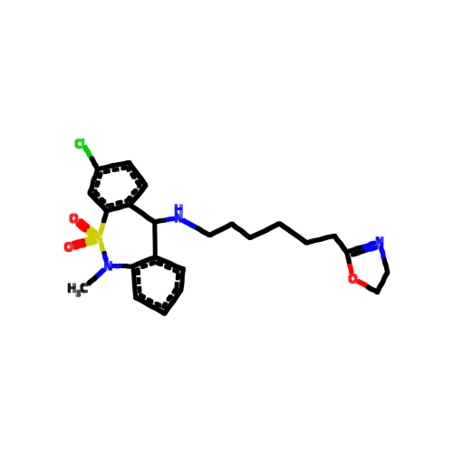 CN1c2ccccc2C(NCCCCCCC2=NCCO2)c2ccc(Cl)cc2S1(=O)=O